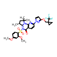 COc1ccc(S(=O)(=O)NC(=O)c2ccc(-n3ccc(OCC4(C(F)(F)F)CC4)n3)nc2N2C[C@@H](C)CC2(C)C)c(OC)c1